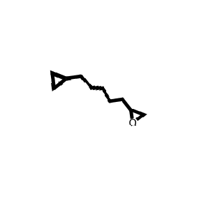 C(CCC1CC1)CCC1CO1